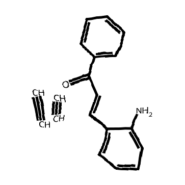 C#C.C#C.Nc1ccccc1C=CC(=O)c1ccccc1